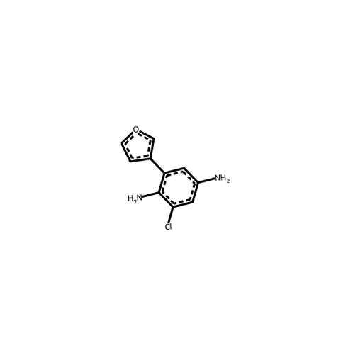 Nc1cc(Cl)c(N)c(-c2ccoc2)c1